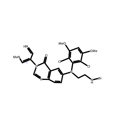 CN/C=C(\C=N)n1cnc2ccc(N(CCNC(C)C)c3c(Cl)c(OC)cc(OC)c3Cl)cc2c1=O